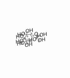 O=P(O)(O)O.OC1(O)CCCC(O)(O)C1(O)O